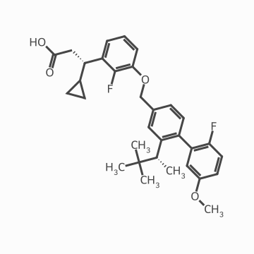 COc1ccc(F)c(-c2ccc(COc3cccc([C@@H](CC(=O)O)C4CC4)c3F)cc2[C@H](C)C(C)(C)C)c1